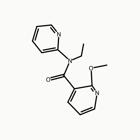 CCN(C(=O)c1cccnc1OC)c1ccccn1